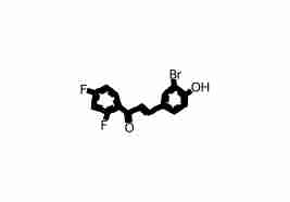 O=C(C=Cc1ccc(O)c(Br)c1)c1ccc(F)cc1F